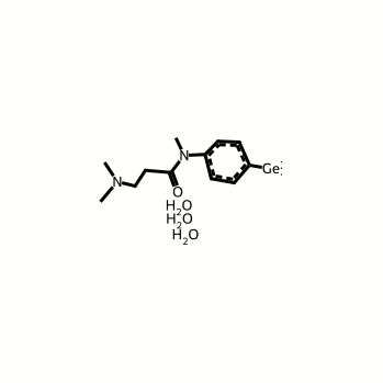 CN(C)CCC(=O)N(C)c1cc[c]([Ge])cc1.O.O.O